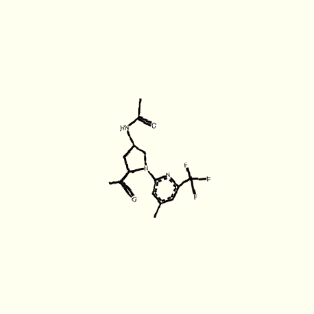 CC(=O)NC1CC(C(C)=O)N(c2cc(C)cc(C(F)(F)F)n2)C1